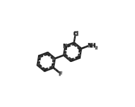 Nc1ccc(-c2ccccc2F)nc1Cl